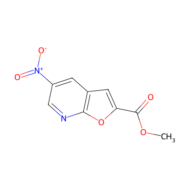 COC(=O)c1cc2cc([N+](=O)[O-])cnc2o1